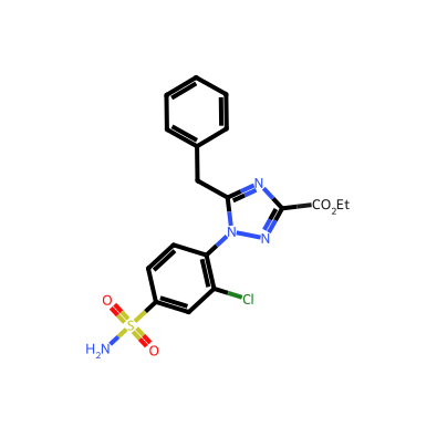 CCOC(=O)c1nc(Cc2ccccc2)n(-c2ccc(S(N)(=O)=O)cc2Cl)n1